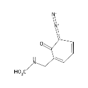 [N-]=[N+]=C1C=CC=C(CNC(=O)O)C1=O